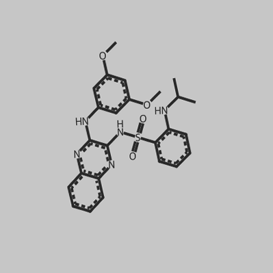 COc1cc(Nc2nc3ccccc3nc2NS(=O)(=O)c2ccccc2NC(C)C)cc(OC)c1